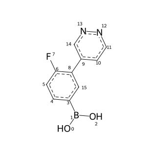 OB(O)c1ccc(F)c(-c2ccnnc2)c1